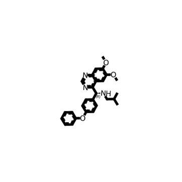 COc1cc2ncnc([C@H](NCC(C)C)c3ccc(Oc4ccccc4)cc3)c2cc1OC